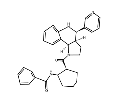 O=C(N[C@@H]1CCCC[C@@H]1C(=O)N1CC[C@@H]2[C@H](c3cccnc3)Nc3ccccc3[C@@H]21)c1ccccc1